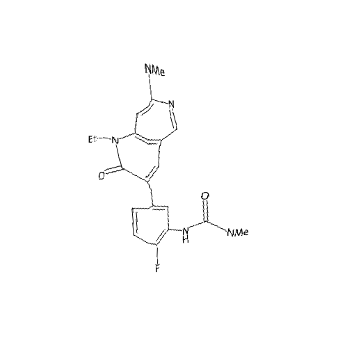 CCn1c(=O)c(-c2ccc(F)c(NC(=O)NC)c2)cc2cnc(NC)cc21